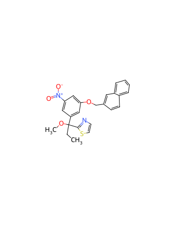 CCC(OC)(c1cc(OCc2ccc3ccccc3c2)cc([N+](=O)[O-])c1)c1nccs1